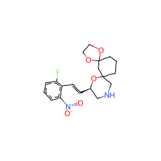 O=[N+]([O-])c1cccc(F)c1C=C[C@@H]1CNCC2(CCCC3(C2)OCCO3)O1